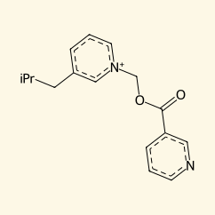 CC(C)Cc1ccc[n+](COC(=O)c2cccnc2)c1